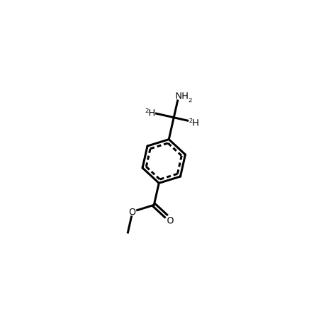 [2H]C([2H])(N)c1ccc(C(=O)OC)cc1